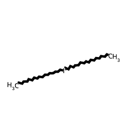 CCCCCCCCCCCCCCCCCC[I+]CCCCCCCCCCCCCCCCCC